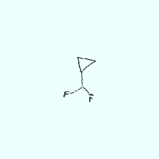 F[C](F)C1CC1